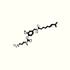 COc1cc(CNC(=O)CCCC/C=C/C(C)C)ccc1OC(=O)N(C)CCCN